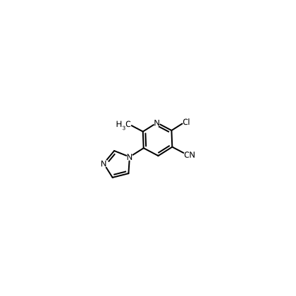 Cc1nc(Cl)c(C#N)cc1-n1ccnc1